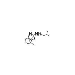 Cc1cccc(CN(C)C(=O)NCCCC(C)C)n1